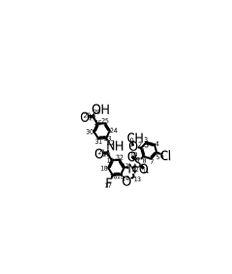 COc1ccc(Cl)cc1S(=O)(=O)N1COc2c(F)cc(C(=O)Nc3ccc(C(=O)O)cc3)cc21